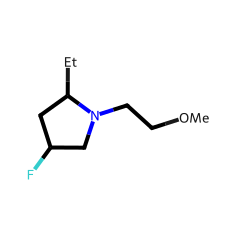 CCC1CC(F)CN1CCOC